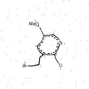 COc1cnc(Cl)c(CBr)c1